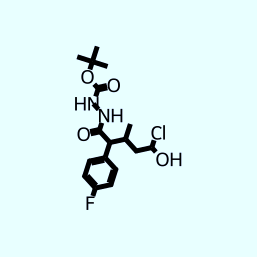 CC(CC(O)Cl)C(C(=O)NNC(=O)OC(C)(C)C)c1ccc(F)cc1